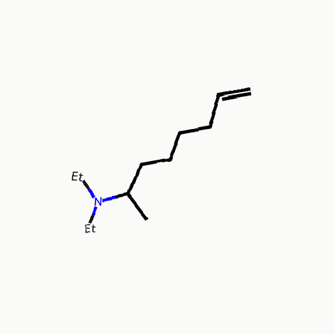 C=CCCCCC(C)N(CC)CC